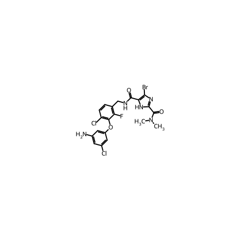 CN(C)C(=O)c1nc(Br)c(C(=O)NCc2ccc(Cl)c(Oc3cc(N)cc(Cl)c3)c2F)[nH]1